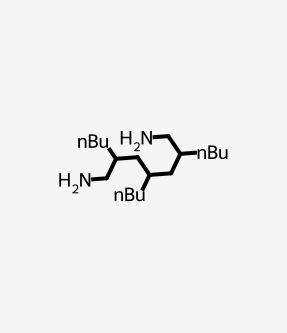 CCCCC(CN)CC(CCCC)CC(CN)CCCC